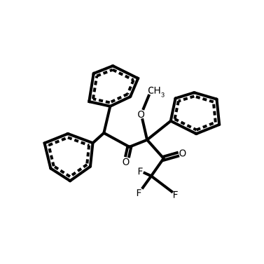 COC(C(=O)C(c1ccccc1)c1ccccc1)(C(=O)C(F)(F)F)c1ccccc1